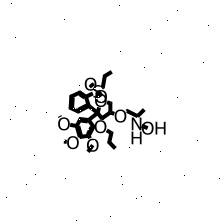 CCCOC1C(OCC(C)NO)COC1(c1cc(OC)c(OC)c(OC)c1)c1ccccc1S(=O)(=O)CCC